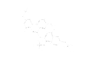 Cc1c2c(c(CC(C)(C)C)c3ccc(CC(C)(C)C)cc13)Oc1cc3c(C)cc(CC(C)(C)C)cc3c3cc[n+](C)c-2c13